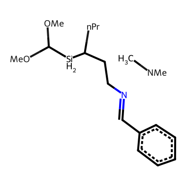 CCCC(CCN=Cc1ccccc1)[SiH2]C(OC)OC.CNC